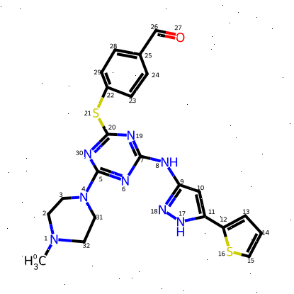 CN1CCN(c2nc(Nc3cc(-c4cccs4)[nH]n3)nc(Sc3ccc(C=O)cc3)n2)CC1